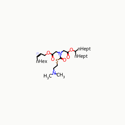 CCCCCC/C=C\COC(=O)CN(CC(=O)OC(CCCCCCC)CCCCCCC)C(=O)SCCN(C)C